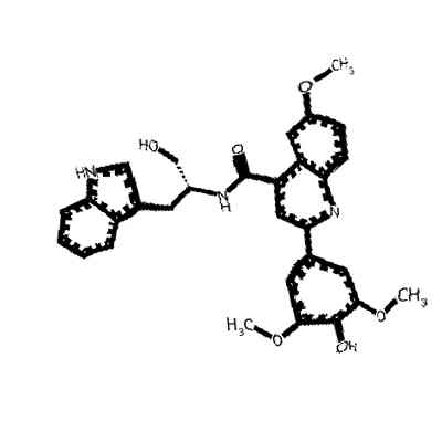 COc1ccc2nc(-c3cc(OC)c(O)c(OC)c3)cc(C(=O)N[C@@H](CO)Cc3c[nH]c4ccccc34)c2c1